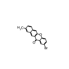 Cc1ccc2cc3oc4ccc(Br)cc4c(=O)c3cc2c1